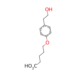 O=C(O)CCCCOc1ccc(CCO)cc1